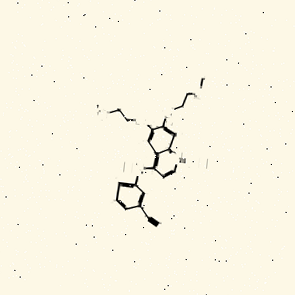 C#Cc1cccc(Nc2ccnc3cc(OCCOC)c(OCCOC)cc23)c1.Cl